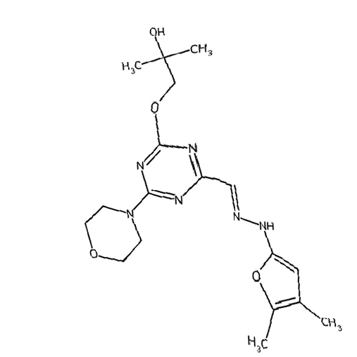 Cc1cc(NN=Cc2nc(OCC(C)(C)O)nc(N3CCOCC3)n2)oc1C